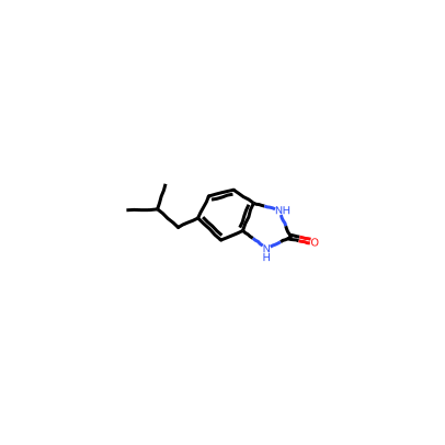 CC(C)Cc1ccc2[nH]c(=O)[nH]c2c1